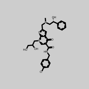 CN(Cc1cc2c(=O)c(C(=O)NCc3ccc(Cl)cc3)cn(CC(O)CO)c2s1)C[C@H](O)c1ccccc1